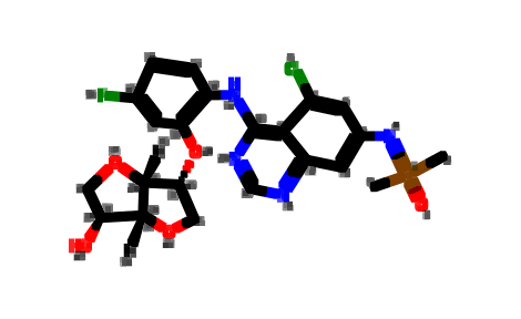 CS(C)(=O)=Nc1cc(Cl)c2c(Nc3ccc(F)cc3O[C@@H]3CO[C@H]4[C@@H]3OC[C@@H]4O)ncnc2c1